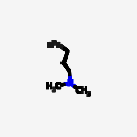 CCCC[CH]CN(C)C